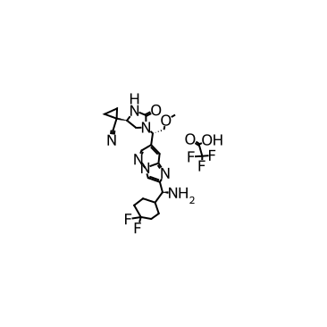 COC[C@H](c1cnn2cc([C@@H](N)C3CCC(F)(F)CC3)nc2c1)N1C[C@@H](C2(C#N)CC2)NC1=O.O=C(O)C(F)(F)F